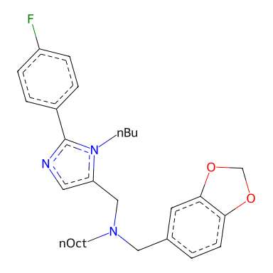 CCCCCCCCN(Cc1ccc2c(c1)OCO2)Cc1cnc(-c2ccc(F)cc2)n1CCCC